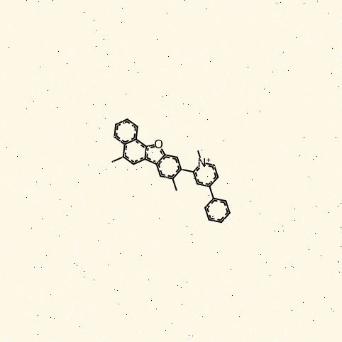 Cc1cc2c(cc1-c1cc(-c3ccccc3)cc[n+]1C)oc1c3ccccc3c(C)cc21